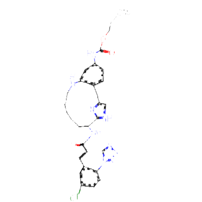 COCCOC(=O)Nc1ccc2c(c1)NCCCCC[C@H](NC(=O)/C=C/c1cc(Cl)ccc1-n1cnnn1)c1nc-2c[nH]1